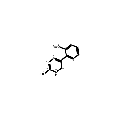 COc1ccccc1C1=NN=C(C=O)NC1